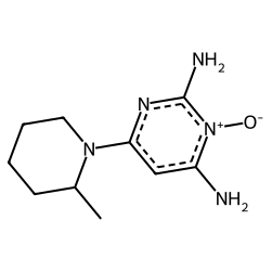 CC1CCCCN1c1cc(N)[n+]([O-])c(N)n1